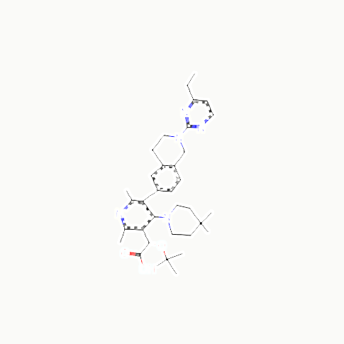 CCc1ccnc(N2CCc3cc(-c4c(C)nc(C)c([C@H](OC(C)(C)C)C(=O)O)c4N4CCC(C)(C)CC4)ccc3C2)n1